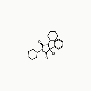 CCC1(c2ccccc2)C(=O)N(C2CCCCC2)C(=O)N1C1CCCCC1